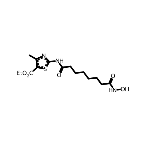 CCOC(=O)c1sc(NC(=O)CCCCCCC(=O)NO)nc1C